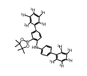 [2H]c1c([2H])c([2H])c(-c2ccc(Nc3ccc(-c4c([2H])c([2H])c([2H])c([2H])c4[2H])cc3B3OC(C)(C)C(C)(C)O3)cc2)c([2H])c1[2H]